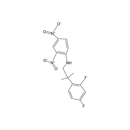 CC(C)(CNc1ccc([N+](=O)[O-])cc1[N+](=O)[O-])c1ccc(F)cc1F